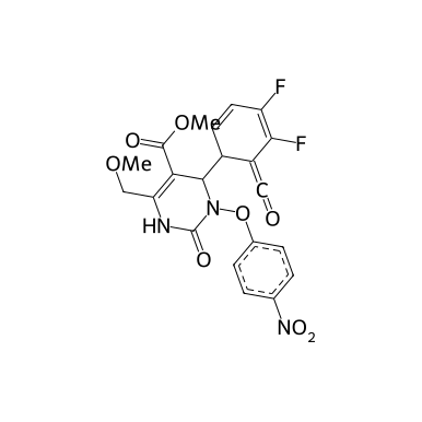 COCC1=C(C(=O)OC)C(C2C=CC(F)=C(F)C2=C=O)N(Oc2ccc([N+](=O)[O-])cc2)C(=O)N1